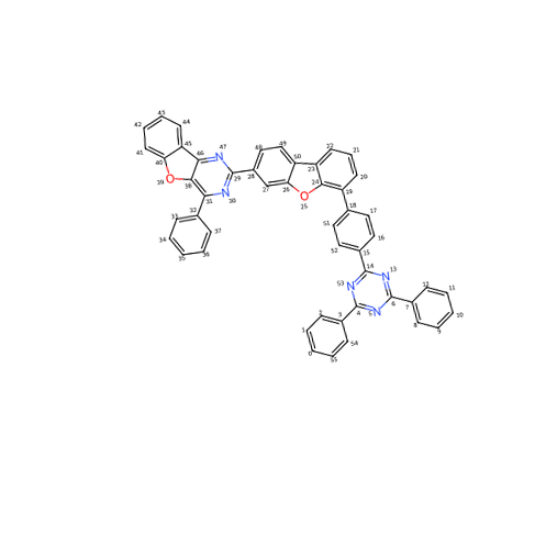 c1ccc(-c2nc(-c3ccccc3)nc(-c3ccc(-c4cccc5c4oc4cc(-c6nc(-c7ccccc7)c7oc8ccccc8c7n6)ccc45)cc3)n2)cc1